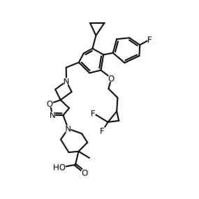 CC1(C(=O)O)CCN(C2=NOC3(C2)CN(Cc2cc(OCCC4CC4(F)F)c(-c4ccc(F)cc4)c(C4CC4)c2)C3)CC1